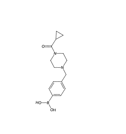 O=C(C1CC1)N1CCN(Cc2ccc(B(O)O)cc2)CC1